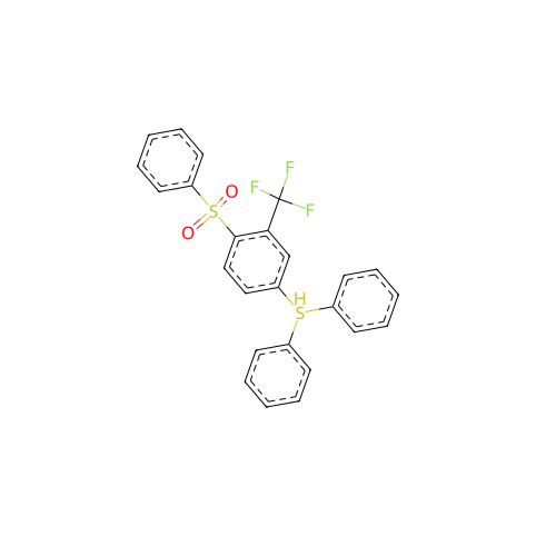 O=S(=O)(c1ccccc1)c1ccc([SH](c2ccccc2)c2ccccc2)cc1C(F)(F)F